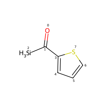 O=C([SiH3])c1cccs1